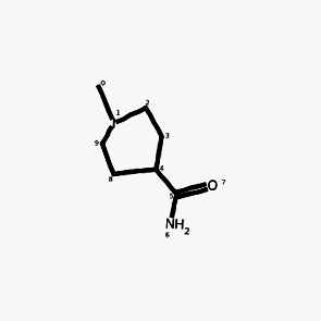 CI1CCC(C(N)=O)CC1